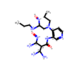 CCCNC(CN(CCC)c1ccncc1NC(=O)C(C(N)N)C(N)N=O)N=O